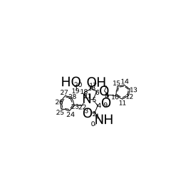 CNC(=O)C[C@@H]1[C@@H](OC(=O)c2ccccc2)[C@H](O)[C@@H](CO)N1Cc1ccccc1